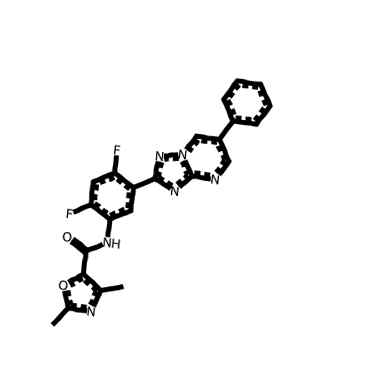 Cc1nc(C)c(C(=O)Nc2cc(-c3nc4ncc(-c5ccccc5)cn4n3)c(F)cc2F)o1